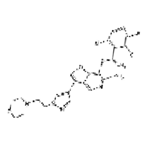 C[C@@H](Oc1c(N)ncc2c(-c3cnn(CCN4CCOCC4)c3)coc12)c1c(Cl)ccc(F)c1Cl